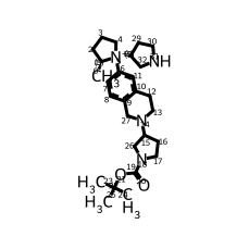 C[C@H]1CCC[N+]1(c1ccc2c(c1)CCN(C1CCN(C(=O)OC(C)(C)C)C1)C2)[C@H]1CCNC1